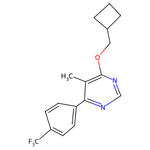 Cc1c(OCC2CCC2)ncnc1-c1ccc(C(F)(F)F)cc1